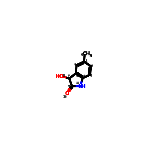 Cc1ccc2c(c1)C(O)C(=O)N2